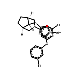 CCCn1nc(N[C@H]2[C@@H]3CC[C@H]2CN(c2ccnc(Cl)c2)C3)nc1Oc1cccc(Cl)c1